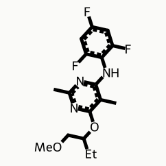 CCC(COC)Oc1nc(C)nc(Nc2c(F)cc(F)cc2F)c1C